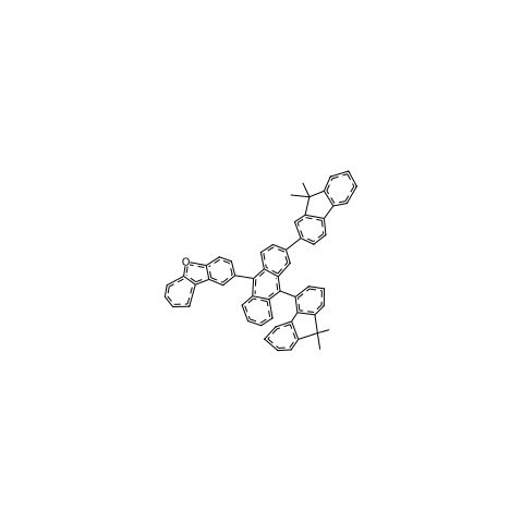 CC1(C)c2ccccc2-c2ccc(-c3ccc4c(-c5ccc6oc7ccccc7c6c5)c5ccccc5c(-c5cccc6c5-c5ccccc5C6(C)C)c4c3)cc21